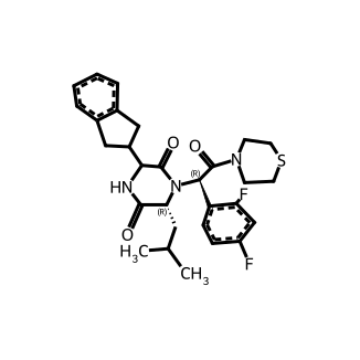 CC(C)C[C@@H]1C(=O)NC(C2Cc3ccccc3C2)C(=O)N1[C@@H](C(=O)N1CCSCC1)c1ccc(F)cc1F